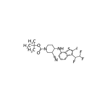 CC(C)(C)OC(=O)N1CCC(Nc2cccc3c(C(F)C(F)F)c(I)sc23)C(C#N)C1